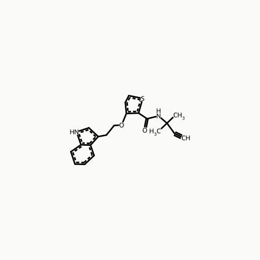 C#CC(C)(C)NC(=O)c1sccc1OCCc1c[nH]c2ccccc12